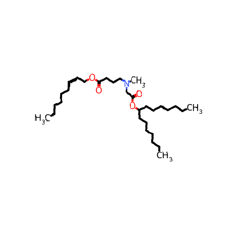 CCCCCC/C=C\COC(=O)CCCN(C)CC(=O)OC(CCCCCCC)CCCCCCC